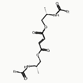 CCC(=O)N[C@@H](C)COC(=O)/C=C/C(=O)OC[C@H](C)NC(=O)CC